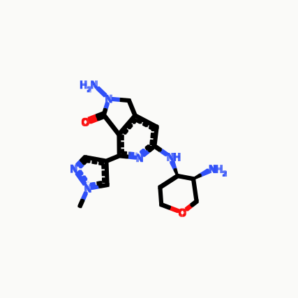 Cn1cc(-c2nc(N[C@@H]3CCOC[C@@H]3N)cc3c2C(=O)N(N)C3)cn1